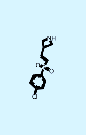 O=S(=O)(/C=C/C1CNC1)c1ccc(Cl)cc1